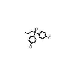 CCCP(=O)(c1ccc(Cl)cc1)c1ccc(Cl)cc1